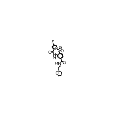 O=C(NCC[C@H]1CCCO1)c1ccc2c(c1)NC(=O)c1cc(F)cn1S2(=O)=O